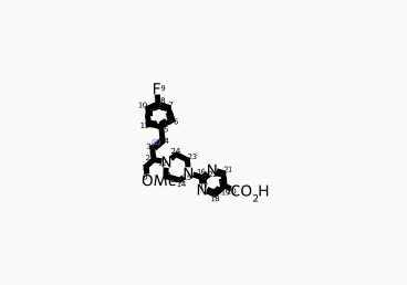 COCC(/C=C/c1ccc(F)cc1)N1CCN(c2ncc(C(=O)O)cn2)CC1